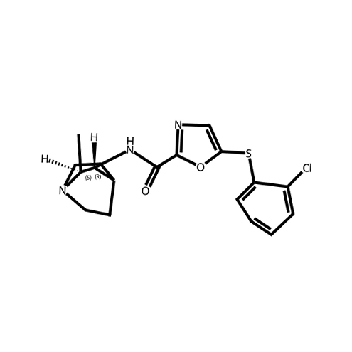 C[C@H]1[C@H](NC(=O)c2ncc(Sc3ccccc3Cl)o2)C2CCN1CC2